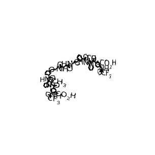 Cc1c(NC(=O)c2cccc(OCCNC(=O)CCC(=O)NCCOc3cccc(C(=O)Nc4c(C)c(C(=O)c5ccc(NC(=O)C(F)(F)F)c(C(=O)O)c5)n5ccccc45)c3)c2)c2ccccn2c1C(=O)c1ccc(NC(=O)C(F)(F)F)c(C(=O)O)c1